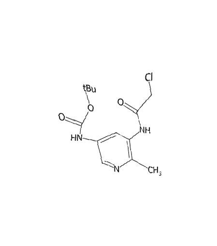 Cc1ncc(NC(=O)OC(C)(C)C)cc1NC(=O)CCl